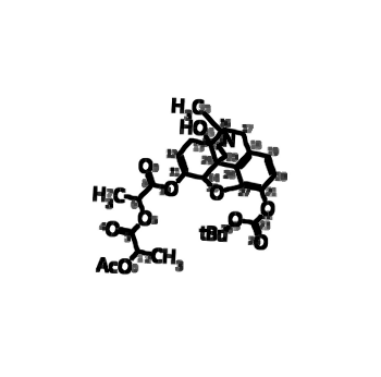 CC(=O)OC(C)C(=O)OC(C)C(=O)OC1=CCC2(O)C3Cc4ccc(OC(=O)OC(C)(C)C)c5c4C2(CCN3C)C1O5